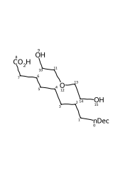 CCCCCCCCCCCCCCCCCC(=O)O.OCCOCCO